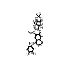 COc1cc2c(Nc3ccc(Br)c(Cl)c3)ncnc2cc1O[C@@H]1CO[C@@H]2[C@H]1OC1OC(C)(C)O[C@H]12